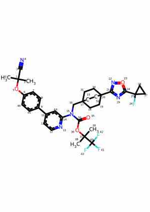 CC(C)(C#N)Oc1ccc(-c2ccnc(N(CC34CCC(c5noc(C6(F)CC6)n5)(CC3)CC4)C(=O)OC(C)(C)C(F)(F)F)c2)cc1